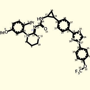 COc1ccc(C(C)C)c(N2CCCS/C2=N\C(=O)NC2CC2c2ccc(-c3ncn(-c4ccc(OC(F)(F)F)cc4)n3)cc2)c1